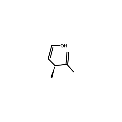 C=C(C)[C@@H](C)/C=C\O